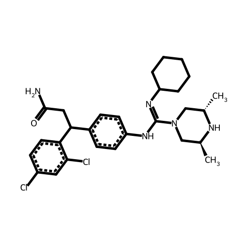 C[C@H]1CN(/C(=N\C2CCCCC2)Nc2ccc(C(CC(N)=O)c3ccc(Cl)cc3Cl)cc2)C[C@H](C)N1